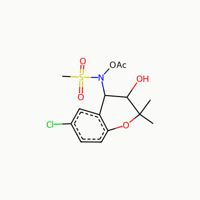 CC(=O)ON(C1c2cc(Cl)ccc2OC(C)(C)C1O)S(C)(=O)=O